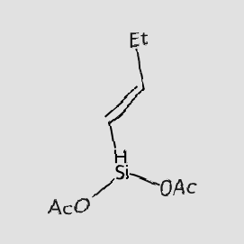 CCC=C[SiH](OC(C)=O)OC(C)=O